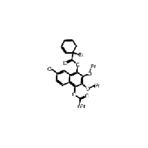 CCCC(=O)Oc1c(OC(C)C)c(OC(C)C)c(OC(=O)C2(CC)C=CC=CC2)c2cc(Cl)ccc12